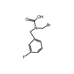 O=C(O)N(CBr)Cc1cccc(F)c1